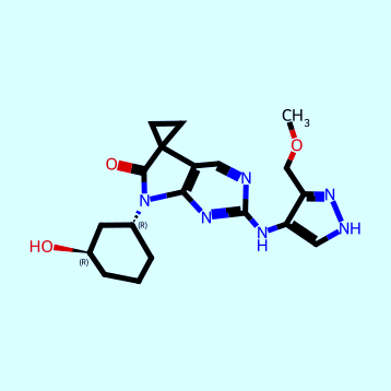 COCc1n[nH]cc1Nc1ncc2c(n1)N([C@@H]1CCC[C@@H](O)C1)C(=O)C21CC1